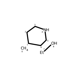 C.C1CCNCC1.CCO